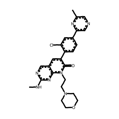 CNc1ncc2cc(-c3ccc(-c4cncc(C)n4)cc3Cl)c(=O)n(CCN3CCOCC3)c2n1